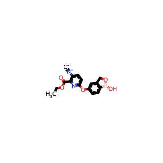 [C-]#[N+]c1ccc(Oc2ccc3c(c2)COB3O)nc1C(=O)OCC